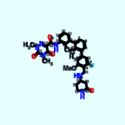 COc1cc(-c2cccc(-c3cccc(NC(=O)c4nn(C)c(=O)n(C)c4=O)c3C)c2C)cc(F)c1CNC1CCNC(=O)C1